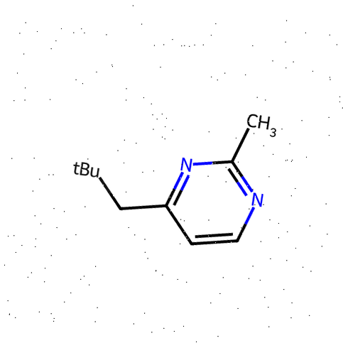 Cc1nccc(CC(C)(C)C)n1